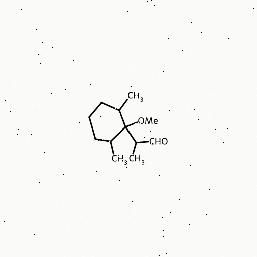 COC1(C(C)C=O)C(C)CCCC1C